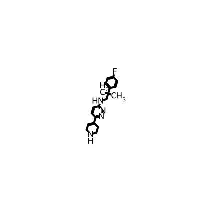 CC(C)(CNc1ccc(C2=CCNCC2)nn1)c1ccc(F)cc1